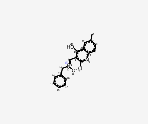 Cc1ccc2nc(Cl)c(/C=[N+](\[O-])Cc3ccccc3)c(O)c2c1